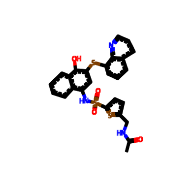 CC(=O)NCc1ccc(S(=O)(=O)Nc2cc(Sc3cccc4cccnc34)c(O)c3ccccc23)s1